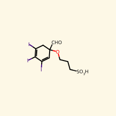 O=CC1(OCCCS(=O)(=O)O)C=C(I)C(I)=C(I)C1